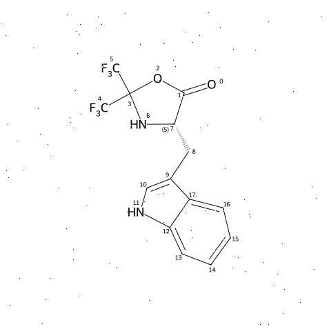 O=C1OC(C(F)(F)F)(C(F)(F)F)N[C@H]1Cc1c[nH]c2ccccc12